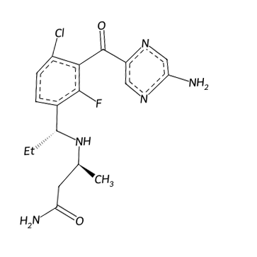 CC[C@@H](N[C@@H](C)CC(N)=O)c1ccc(Cl)c(C(=O)c2cnc(N)cn2)c1F